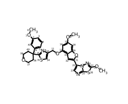 COc1cccc(C2(c3nc(COc4cc(OC)cc5oc(-c6cnc7sc(OC)nn67)cc45)cs3)CCOCC2)c1